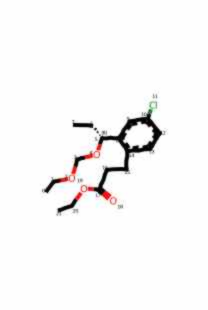 CCOCO[C@H](CC)c1cc(Cl)ccc1CCC(=O)OCC